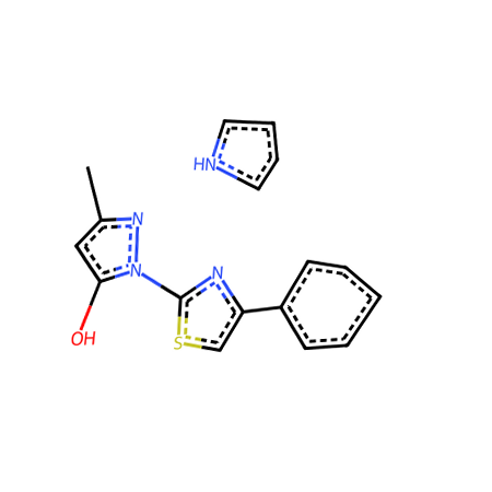 Cc1cc(O)n(-c2nc(-c3ccccc3)cs2)n1.c1cc[nH]c1